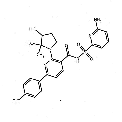 CC1CCN(c2nc(-c3ccc(C(F)(F)F)cc3)ccc2C(=O)NS(=O)(=O)c2cccc(N)n2)C1(C)C